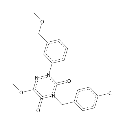 COCc1cccc(-n2nc(OC)c(=O)n(Cc3ccc(Cl)cc3)c2=O)c1